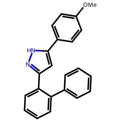 COc1ccc(-c2cc(-c3ccccc3-c3ccccc3)n[nH]2)cc1